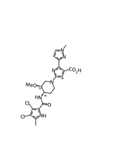 CO[C@H]1CN(c2nc(-c3ccn(C)n3)c(C(=O)O)s2)CC[C@H]1NC(=O)c1[nH]c(C)c(Cl)c1Cl